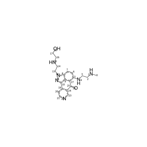 CNCCNc1ccc2c3c(nn2CCNCCO)-c2ccncc2C(=O)c13